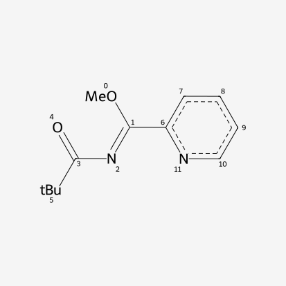 CO/C(=N\C(=O)C(C)(C)C)c1ccccn1